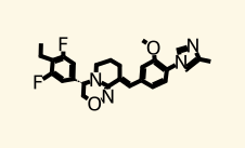 CCc1c(F)cc([C@H]2CON=C3/C(=C/c4ccc(-n5cnc(C)c5)c(OC)c4)CCCN32)cc1F